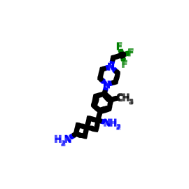 Cc1cc(C2(N)CC3(CC(N)C3)C2)ccc1N1CCN(CC(F)(F)F)CC1